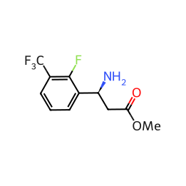 COC(=O)C[C@H](N)c1cccc(C(F)(F)F)c1F